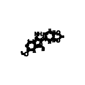 COc1ccc2c(N)c(-c3ccc4c(c3)OCO4)n(C)c2c1